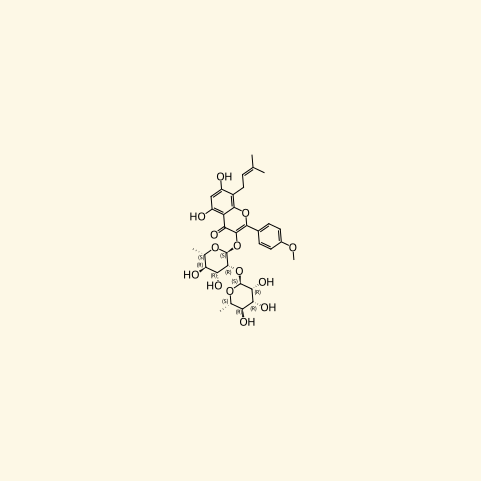 COc1ccc(-c2oc3c(CC=C(C)C)c(O)cc(O)c3c(=O)c2O[C@@H]2O[C@@H](C)[C@H](O)[C@@H](O)[C@H]2O[C@@H]2O[C@@H](C)[C@H](O)[C@@H](O)[C@H]2O)cc1